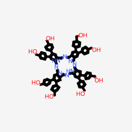 OCc1ccc(-c2cc3c(cc2-c2ccc(CO)cc2)-c2nc-3nc3[nH]c(nc4nc(nc5[nH]c(n2)c2cc(-c6ccc(CO)cc6)c(-c6ccc(CO)cc6)cc52)-c2cc(-c5ccc(CO)cc5)c(-c5ccc(CO)cc5)cc2-4)c2cc(-c4ccc(CO)cc4)c(-c4ccc(CO)cc4)cc32)cc1